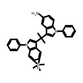 CC(C)(c1cn(-c2ccccc2)c2ccc([SiH3])cc12)c1cn(-c2ccccc2)c2cc3c(cc12)[SH]3(C)(C)C